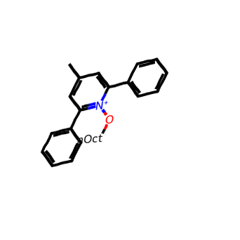 CCCCCCCCO[n+]1c(-c2ccccc2)cc(C)cc1-c1ccccc1